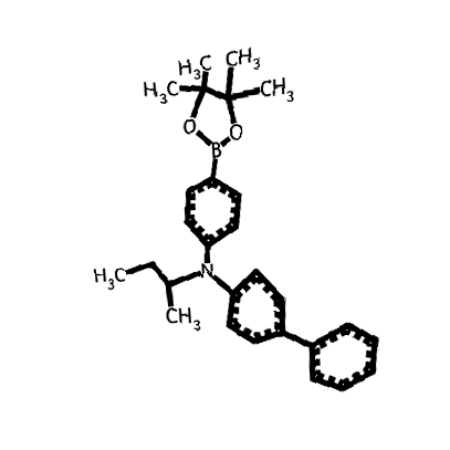 CCC(C)N(c1ccc(B2OC(C)(C)C(C)(C)O2)cc1)c1ccc(-c2ccccc2)cc1